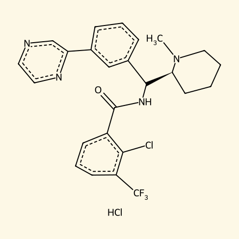 CN1CCCC[C@H]1C(NC(=O)c1cccc(C(F)(F)F)c1Cl)c1cccc(-c2cnccn2)c1.Cl